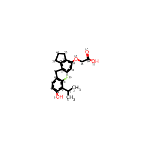 CC(C)c1c(O)ccc(Cc2ccc(OCC(=O)O)c3c2CCC3)c1F